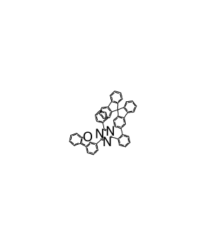 c1ccc(-c2nc(-c3ccccc3-c3ccc4c(c3)-c3ccccc3C43c4ccccc4-c4ccccc43)nc(-c3cccc4c3oc3ccccc34)n2)cc1